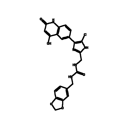 O=C(NCc1ccc2c(c1)OCO2)NCc1nc(-c2ccc3[nH]c(=O)cc(O)c3c2)c(Cl)[nH]1